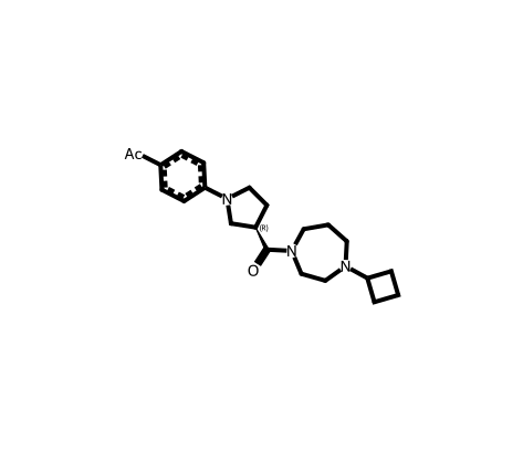 CC(=O)c1ccc(N2CC[C@@H](C(=O)N3CCCN(C4CCC4)CC3)C2)cc1